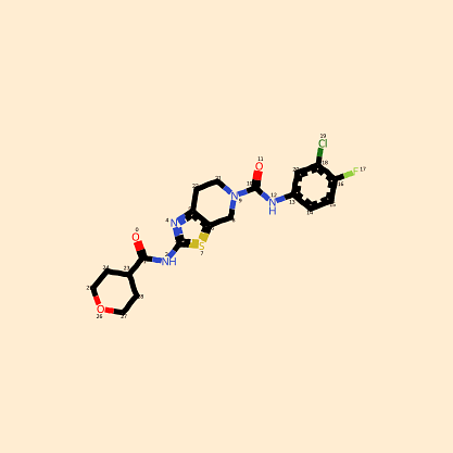 O=C(Nc1nc2c(s1)CN(C(=O)Nc1ccc(F)c(Cl)c1)CC2)C1CCOCC1